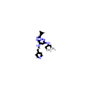 CCC(CC)Nc1cc(NCCc2ccncc2)c2nnc(C3CC3)n2n1